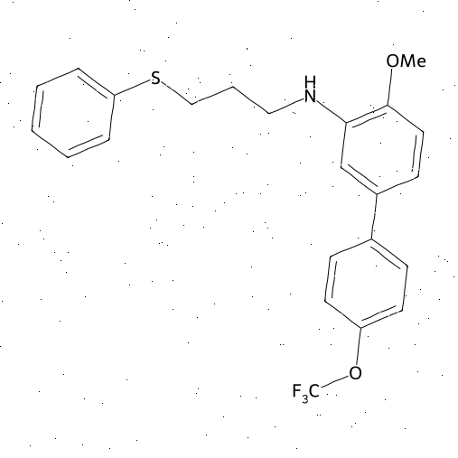 COc1ccc(-c2ccc(OC(F)(F)F)cc2)cc1NCCCSc1ccccc1